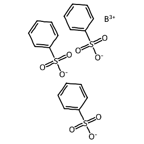 O=S(=O)([O-])c1ccccc1.O=S(=O)([O-])c1ccccc1.O=S(=O)([O-])c1ccccc1.[B+3]